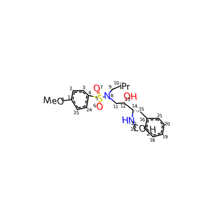 COc1ccc(S(=O)(=O)N(CC(C)C)C[C@H](O)[C@H](Cc2ccccc2)NC(=O)O)cc1